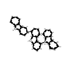 c1ccc2c(c1)oc1ccc(-c3cccc4c3oc3cccc(-n5c6ccccc6c6ccccc65)c34)cc12